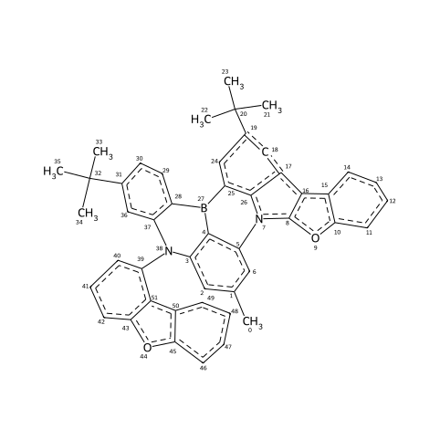 Cc1cc2c3c(c1)-n1c4oc5ccccc5c4c4cc(C(C)(C)C)cc(c41)B3c1ccc(C(C)(C)C)cc1N2c1cccc2oc3ccccc3c12